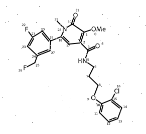 COc1c(C(=O)NCCCOc2ccccc2Cl)cc(-c2cc(F)cc(CF)c2)n(C)c1=O